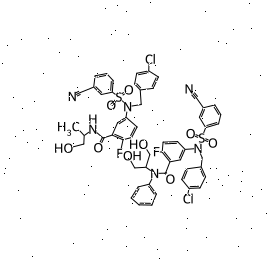 CC(CO)NC(=O)c1cc(N(Cc2ccc(Cl)cc2)S(=O)(=O)c2cccc(C#N)c2)ccc1F.N#Cc1cccc(S(=O)(=O)N(Cc2ccc(Cl)cc2)c2ccc(F)c(C(=O)N(c3ccccc3)C(CO)CO)c2)c1